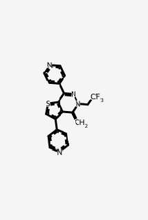 C=C1c2c(-c3ccncc3)csc2C(c2ccncc2)=NN1CC(F)(F)F